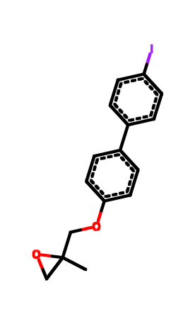 CC1(COc2ccc(-c3ccc(I)cc3)cc2)CO1